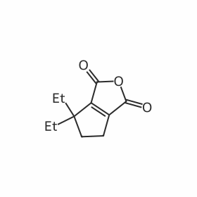 CCC1(CC)CCC2=C1C(=O)OC2=O